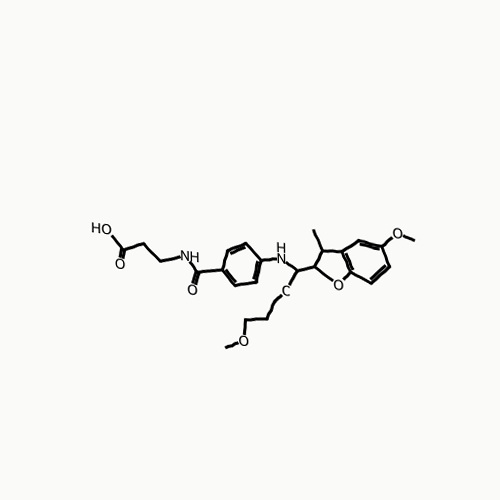 COCCCCC(Nc1ccc(C(=O)NCCC(=O)O)cc1)C1Oc2ccc(OC)cc2C1C